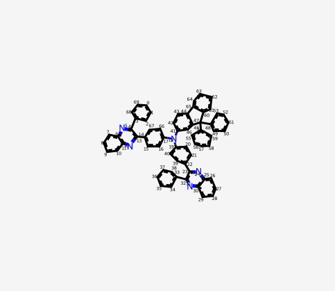 c1ccc(-c2nc3ccccc3nc2-c2ccc(N(c3ccc(-c4nc5ccccc5nc4-c4ccccc4)cc3)c3ccc4c(c3)C(c3ccccc3)(c3ccccc3)c3ccccc3-4)cc2)cc1